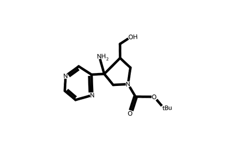 CC(C)(C)OC(=O)N1CC(CO)C(N)(c2cnccn2)C1